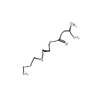 CCCCOCCOC(=O)CC(C)C